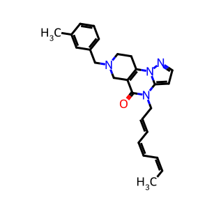 C\C=C/C=C\C=C\Cn1c(=O)c2c(n3nccc13)CCN(Cc1cccc(C)c1)C2